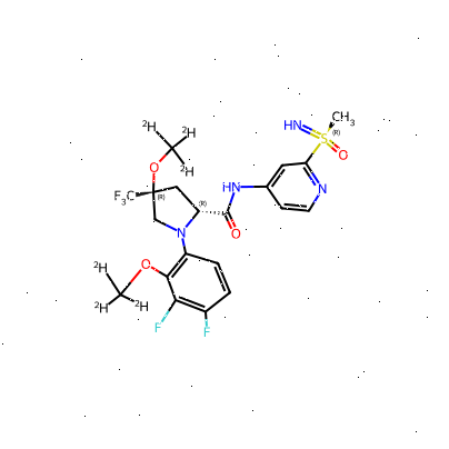 [2H]C([2H])([2H])Oc1c(N2C[C@@](OC([2H])([2H])[2H])(C(F)(F)F)C[C@@H]2C(=O)Nc2ccnc([S@](C)(=N)=O)c2)ccc(F)c1F